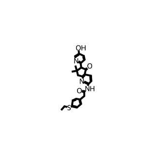 CCSc1ccc(CC(=O)Nc2ccc3c(n2)CC(C)(C)C(c2ccc(O)cn2)C3=O)cc1